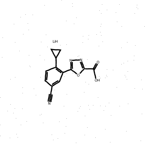 N#Cc1ccc(C2CC2)c(-c2nnc(C(=O)O)o2)c1.[LiH]